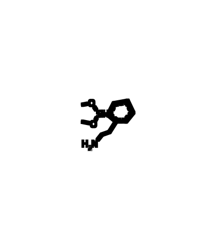 CO[SiH](OC)c1ccccc1CCN